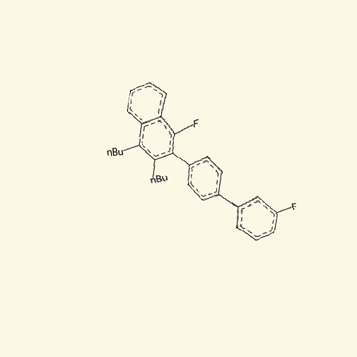 CCCCc1c(-c2ccc(-c3cccc(F)c3)cc2)c(F)c2ccccc2c1CCCC